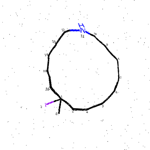 CC1(I)CCCCCCCCNCCCCC1